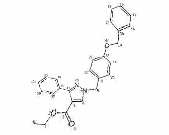 CCOC(=O)c1cn(Cc2ccc(OCc3ccccc3)cc2)nc1-c1ccccc1